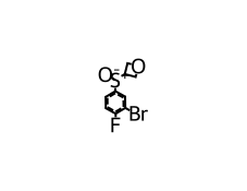 [O-][S+](c1ccc(F)c(Br)c1)C1COC1